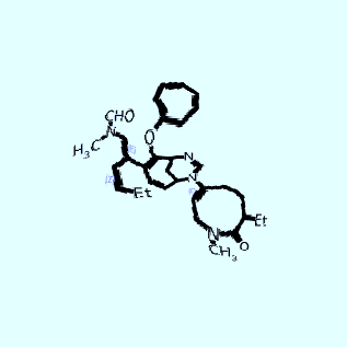 CC/C=C\C(=C/N(C)C=O)C1=C(OC2=CC=CC=CC2)C2CC(C=C1)N(/C1=C/CN(C)C(=O)C(CC)CC1)C=N2